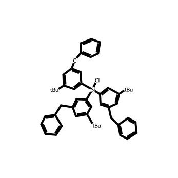 CC(C)(C)c1cc(Cc2ccccc2)cc([Si](Cl)(c2cc(Cc3ccccc3)cc(C(C)(C)C)c2)c2cc(Cc3ccccc3)cc(C(C)(C)C)c2)c1